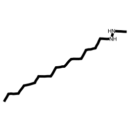 CCCCCCCCCCCCCCNNC